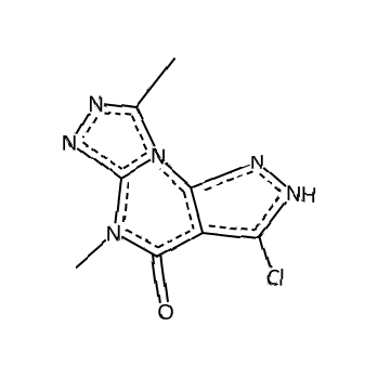 Cc1nnc2n(C)c(=O)c3c(Cl)[nH]nc3n12